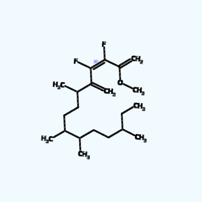 C=C(OC)/C(F)=C(/F)C(=C)C(C)CCC(C)C(C)CCC(C)CC